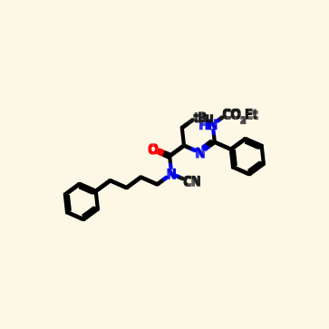 CCOC(=O)NC(=NC(CC(C)(C)C)C(=O)N(C#N)CCCCc1ccccc1)c1ccccc1